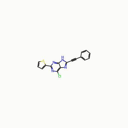 Clc1nc(-c2cccs2)nc2[nH]c(C#Cc3ccccc3)nc12